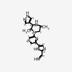 CC1CN(c2cncc(-c3cnc(C=N)[nH]3)n2)C(C)C(c2cn[nH]c2)N1